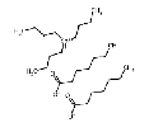 CCCCCCC(=O)[O-].CCCCCCC(=O)[O-].CCC[CH2][SnH+2]([CH2]CCC)[CH2]CCC